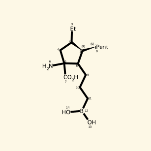 CCC[C@H](C)[C@@H]1C(CC)CC(N)(C(=O)O)C1CCCB(O)O